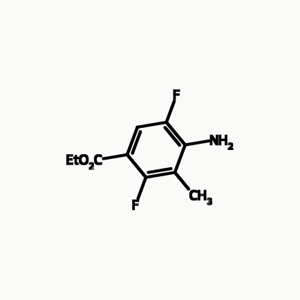 CCOC(=O)c1cc(F)c(N)c(C)c1F